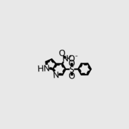 O=[N+]([O-])c1c(S(=O)(=O)c2ccccc2)cnc2[nH]ccc12